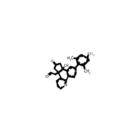 Cc1cc(C)c(-c2ccc3c(c2)C2(C)CC(=O)CC2(CC=O)c2cccnc2-3)c(C)c1